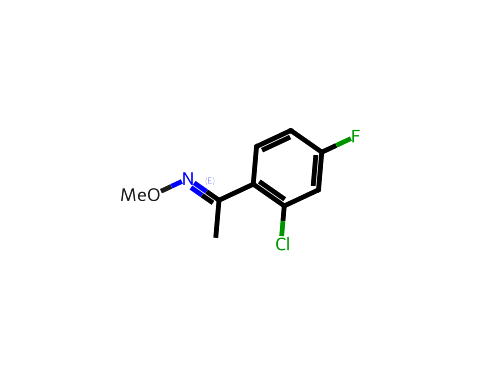 CO/N=C(\C)c1ccc(F)cc1Cl